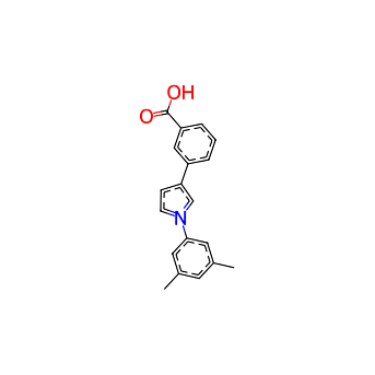 Cc1cc(C)cc(-n2ccc(-c3cccc(C(=O)O)c3)c2)c1